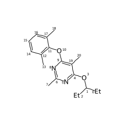 CCC(CC)Oc1nc(C)nc(Oc2c(C)cccc2C)c1C